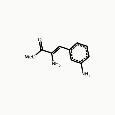 COC(=O)/C(N)=C/c1cccc(N)c1